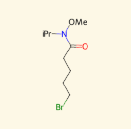 CON(C(=O)CCCCBr)C(C)C